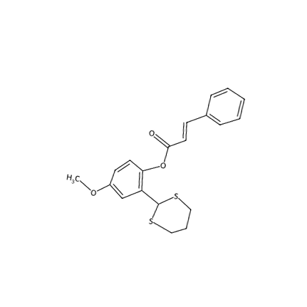 COc1ccc(OC(=O)/C=C/c2ccccc2)c(C2SCCCS2)c1